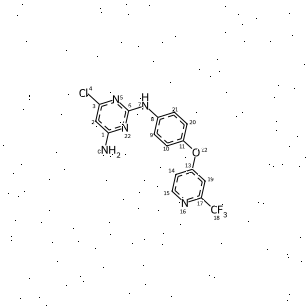 Nc1cc(Cl)nc(Nc2ccc(Oc3ccnc(C(F)(F)F)c3)cc2)n1